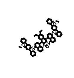 CCc1cc2c(-c3ccc(-n4c5ccccc5c5cc6c(cc54)c4ccccc4n6CC)c4ccccc34)c3nsnc3c(-c3ccc(-n4c5ccccc5c5cc6c(cc54)c4ccccc4n6CC)c4ccccc34)c2cc1CC